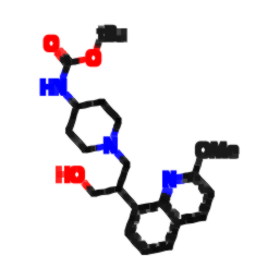 COc1ccc2cccc(C(CO)CN3CCC(NC(=O)OC(C)(C)C)CC3)c2n1